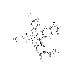 COCC(C)(C)c1c(C(F)(F)CC(=O)O)c2cc3[nH]ncc3cc2n1-c1ccc(F)c(OC)c1